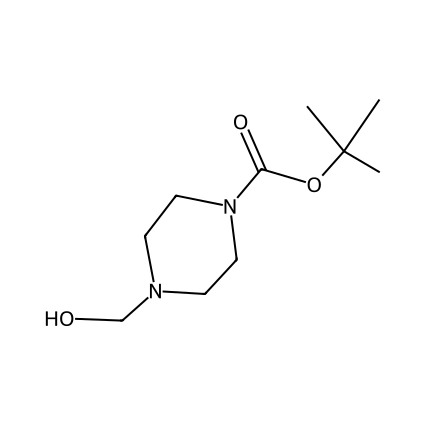 CC(C)(C)OC(=O)N1CCN(CO)CC1